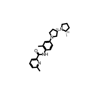 Cc1cccc(C(=O)Nc2ccc(N3CC[C@H](N4CCC[C@@H]4C)C3)cc2C)n1